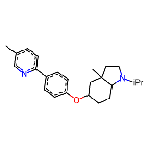 Cc1ccc(-c2ccc(OC3CCC4N(C(C)C)CCC4(C)C3)cc2)nc1